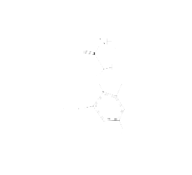 CCC(Oc1c(Cl)cc(Cl)cc1C=O)C(N)=O